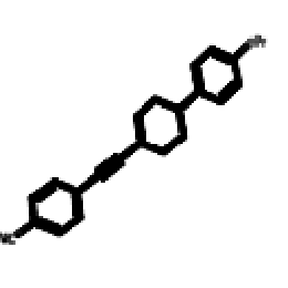 CCCc1ccc(C2CC=C(C#Cc3ccc(C#N)cc3)CC2)cc1